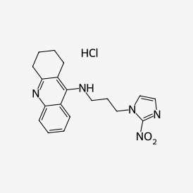 Cl.O=[N+]([O-])c1nccn1CCCNc1c2c(nc3ccccc13)CCCC2